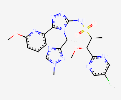 COc1cccc(-c2nnc(NS(=O)(=O)[C@@H](C)[C@H](OC)c3ncc(Cl)cn3)n2[C@H](C)c2ncn(C)n2)n1